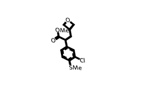 COC(=O)C(CC1COC1)c1ccc(SC)c(Cl)c1